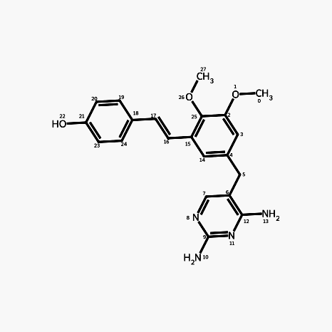 COc1cc(Cc2cnc(N)nc2N)cc(C=Cc2ccc(O)cc2)c1OC